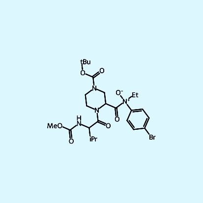 CC[N+]([O-])(C(=O)C1CN(C(=O)OC(C)(C)C)CCN1C(=O)C(NC(=O)OC)C(C)C)c1ccc(Br)cc1